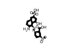 Nc1ccc2cc(S(=O)(=O)O)cc(O)c2c1/N=N/c1ccc([N+](=O)[O-])cc1C(=O)O